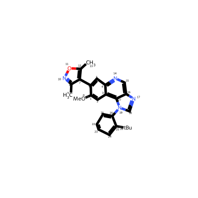 COc1cc2c(cc1-c1c(C)noc1C)ncc1ncn(-c3ccccc3C(C)(C)C)c12